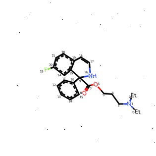 CCN(CC)CCCOC(=O)C1(c2ccccc2)NC=Cc2ccc(F)cc21